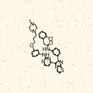 CN1CCN(CCCOc2cccc(Nc3nccc(-c4c(-c5cccc(NC(=O)Cc6ccccc6Cl)c5)nc5sccn45)n3)c2)CC1